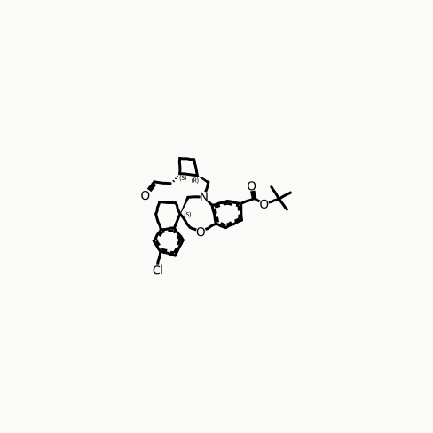 CC(C)(C)OC(=O)c1ccc2c(c1)N(C[C@@H]1CC[C@H]1CC=O)C[C@@]1(CCCc3cc(Cl)ccc31)CO2